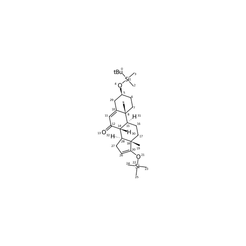 CC(C)(C)[Si](C)(C)O[C@H]1CC[C@@]2(C)C(=CC(=O)[C@@H]3[C@@H]2CC[C@]2(C)C(O[Si](C)(C)C)=CC[C@@H]32)C1